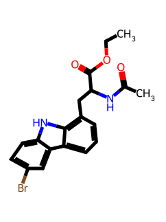 CCOC(=O)C(Cc1cccc2c1[nH]c1ccc(Br)cc12)NC(C)=O